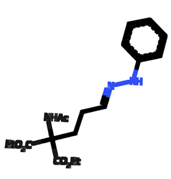 CCOC(=O)C(CCC=NNc1ccccc1)(NC(C)=O)C(=O)OCC